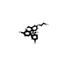 O=S(=O)(c1ccc(Cl)cc1)C12CCC(OCCO)CC1COc1c(F)ccc(F)c12